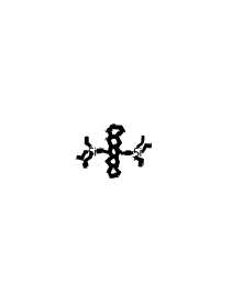 C=CC[Si](C#Cc1c2cc3ccccc3cc2c(C#C[Si](CC=C)(CC=C)CC=C)c2cc3ccccc3cc12)(CC=C)CC=C